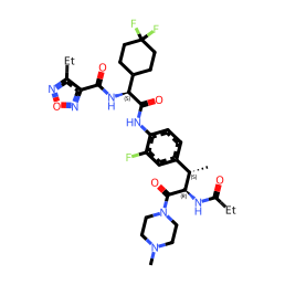 CCC(=O)N[C@@H](C(=O)N1CCN(C)CC1)[C@@H](C)c1ccc(NC(=O)[C@@H](NC(=O)c2nonc2CC)C2CCC(F)(F)CC2)c(F)c1